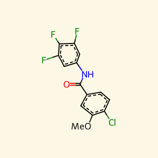 COc1cc(C(=O)Nc2cc(F)c(F)c(F)c2)ccc1Cl